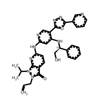 C=CCn1c(=O)c2ccc(Nc3cc(N[C@H](CO)c4ccccc4)c(-c4nnc(-c5cccnc5)o4)cn3)nc2n1C(C)C